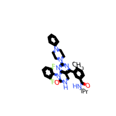 Cc1ccc(C(=O)NC(C)C)cc1-c1nc(N2CCN(c3ccccc3)CC2)nc2c1CNC(=O)N2c1c(F)cccc1F